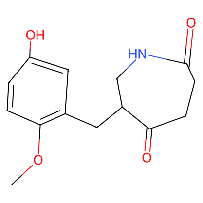 COc1ccc(O)cc1CC1CNC(=O)CCC1=O